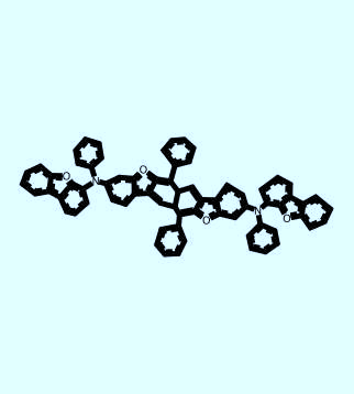 C1=c2c(oc3cc(N(c4ccccc4)c4cccc5c4oc4ccccc45)ccc23)=C(c2ccccc2)C2C=c3c(oc4cc(N(c5ccccc5)c5cccc6c5oc5ccccc56)ccc34)=C(c3ccccc3)C12